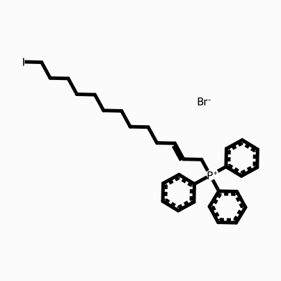 ICCCCCCCCCCC=CC[P+](c1ccccc1)(c1ccccc1)c1ccccc1.[Br-]